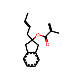 C=C(C)C(=O)OC1(C/C=C/C)Cc2ccccc2C1